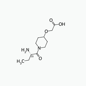 CC[C@H](N)C(=O)N1CCC(OCC(=O)O)CC1